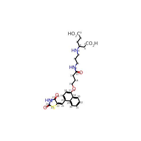 O=C(O)CCC(CC(=O)O)NCCCNC(=O)CCCOc1ccc(C=C2SC(=O)NC2=O)c2ccccc12